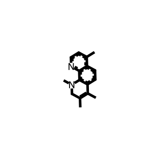 CC1=C(C)c2ccc3c(C)ccnc3c2N(C)C1